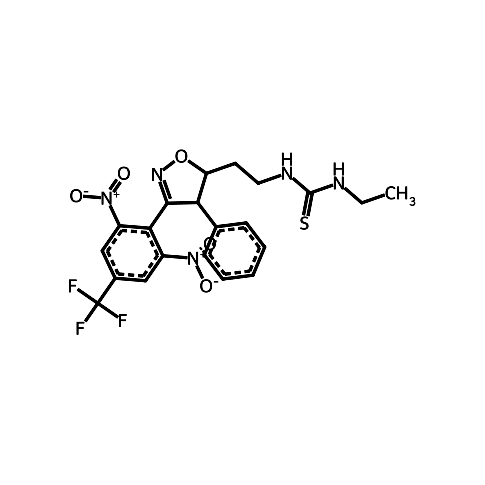 CCNC(=S)NCCC1ON=C(c2c([N+](=O)[O-])cc(C(F)(F)F)cc2[N+](=O)[O-])C1c1ccccc1